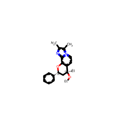 CCO[C@@]1(CC)C[C@H](c2ccccc2)Oc2c1ccn1c(C)c(C)nc21